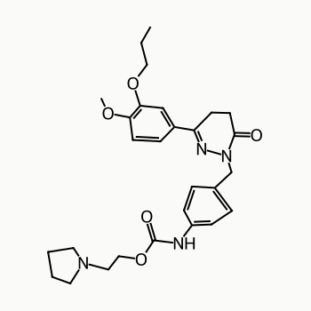 CCCOc1cc(C2=NN(Cc3ccc(NC(=O)OCCN4CCCC4)cc3)C(=O)CC2)ccc1OC